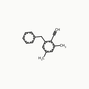 C#Cc1c(C)cc(C)cc1Cc1ccccc1